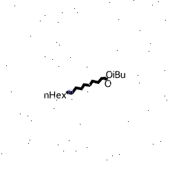 CCCCCC/C=C/CCCCCCCC(=O)OCC(C)C